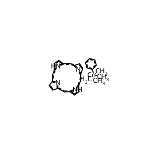 C1=Cc2cc3ccc(cc4nc(cc5ccc(cc1n2)[nH]5)C=C4)[nH]3.[CH3][Co]([CH3])([CH3])([CH3])[c]1ccccc1